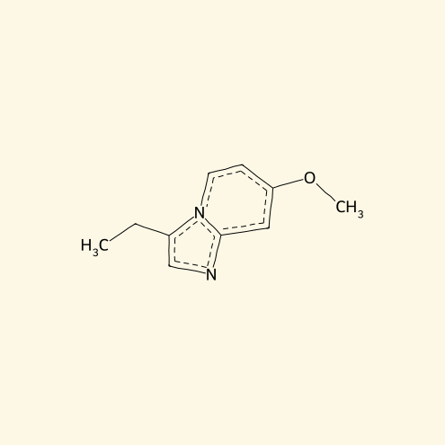 CCc1cnc2cc(OC)ccn12